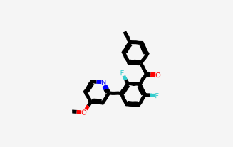 COc1ccnc(-c2ccc(F)c(C(=O)c3ccc(C)cc3)c2F)c1